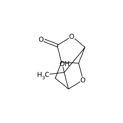 CC1(O)C2CC3C(=O)OC1C3O2